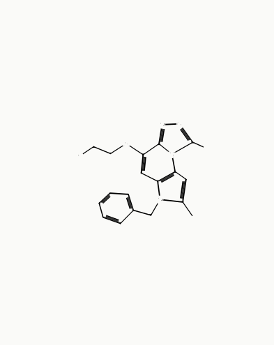 Cc1cc2c(cc(NCCN)c3nnc(C)n32)n1Cc1ccccc1